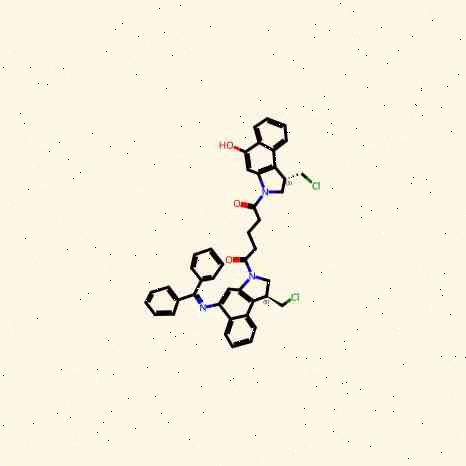 O=C(CCCC(=O)N1C[C@@H](CCl)c2c1cc(N=C(c1ccccc1)c1ccccc1)c1ccccc21)N1C[C@@H](CCl)c2c1cc(O)c1ccccc21